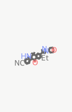 CCc1cc2c(cc1-c1cnn(C3CCOCC3)c1)C(C)(C)c1[nH]c3cc(C#N)ccc3c1C2=O